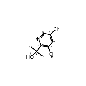 CC(C)(O)c1ncc(Cl)cc1Cl